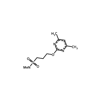 CNS(=O)(=O)CCCOc1nc(C)[c]c(C)n1